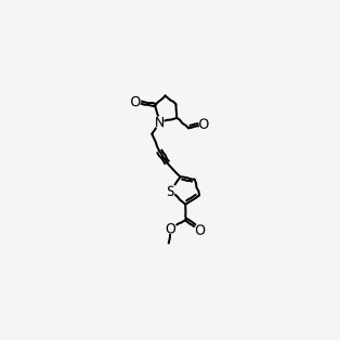 COC(=O)c1ccc(C#CCN2C(=O)CCC2C=O)s1